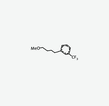 COCCCCc1cccc(C(F)(F)F)c1